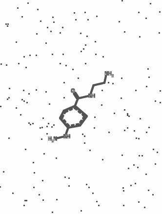 NCCNC(=O)c1ccc(NN)cc1